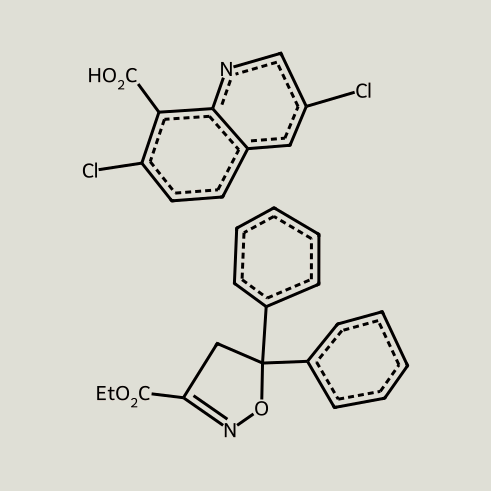 CCOC(=O)C1=NOC(c2ccccc2)(c2ccccc2)C1.O=C(O)c1c(Cl)ccc2cc(Cl)cnc12